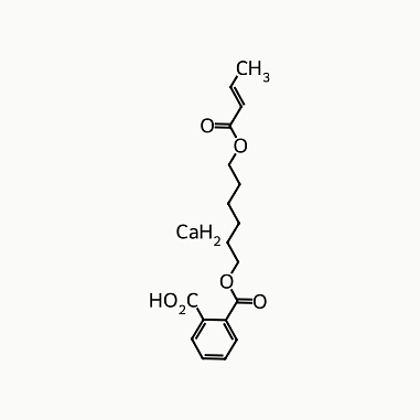 CC=CC(=O)OCCCCCCOC(=O)c1ccccc1C(=O)O.[CaH2]